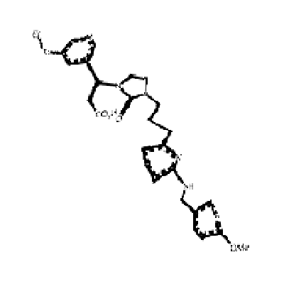 CCOc1cncc(C(CC(=O)O)N2CCN(CCCc3cccc(NCc4ccc(OC)cc4)n3)C2=O)c1